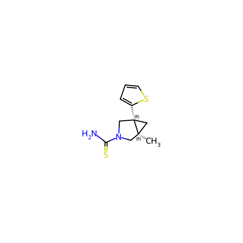 C[C@]12CN(C(N)=S)C[C@@]1(c1cccs1)C2